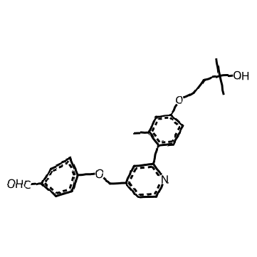 Cc1cc(OCCC(C)(C)O)ccc1-c1cc(COc2ccc(C=O)cc2)ccn1